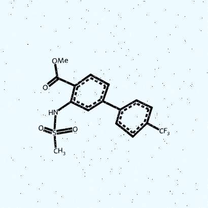 COC(=O)c1ccc(-c2ccc(C(F)(F)F)cc2)cc1NS(C)(=O)=O